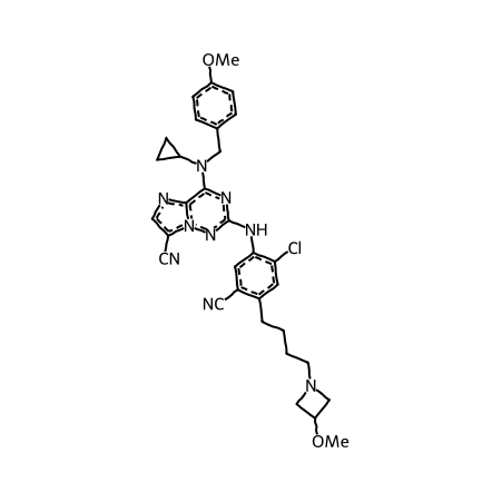 COc1ccc(CN(c2nc(Nc3cc(C#N)c(CCCCN4CC(OC)C4)cc3Cl)nn3c(C#N)cnc23)C2CC2)cc1